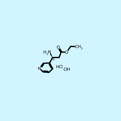 CCOC(=O)C[C@H](N)c1cccnc1.Cl.Cl